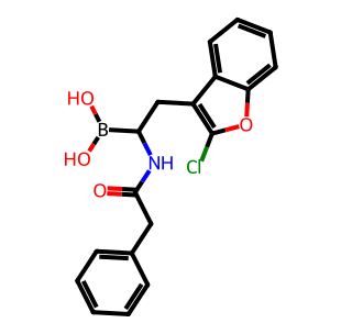 O=C(Cc1ccccc1)NC(Cc1c(Cl)oc2ccccc12)B(O)O